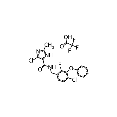 Cc1nc(Cl)c(C(=O)NCc2ccc(Cl)c(Oc3ccccc3)c2F)[nH]1.O=C(O)C(F)(F)F